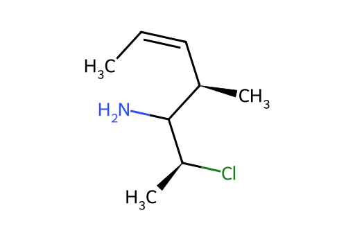 C/C=C\[C@@H](C)C(N)[C@H](C)Cl